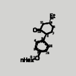 CCCCCCOc1ccc([C@@H]2CC[C@@H](CC)CC2=O)cc1